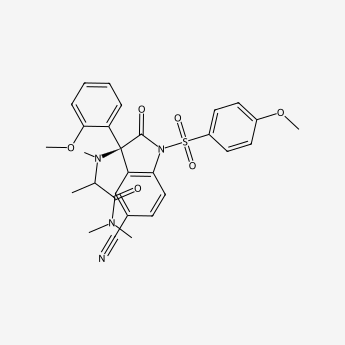 COc1ccc(S(=O)(=O)N2C(=O)[C@](c3ccccc3OC)(N(C)C(C)C(=O)N(C)C)c3cc(C#N)ccc32)cc1